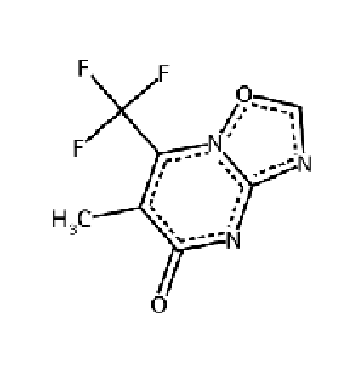 Cc1c(C(F)(F)F)n2ocnc2nc1=O